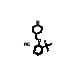 Cl.FC(F)(F)c1ccncc1OCC1CCNCC1